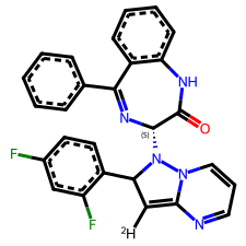 [2H]C1=C2N=CC=CN2N([C@@H]2N=C(c3ccccc3)c3ccccc3NC2=O)C1c1ccc(F)cc1F